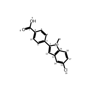 Cn1c(-c2ccc(C(=O)O)cc2)cc2cc(Cl)ccc21